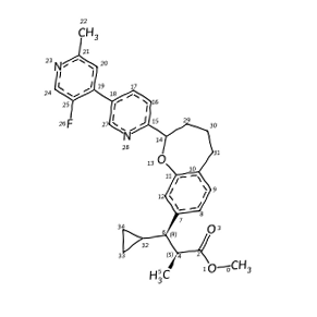 COC(=O)[C@@H](C)[C@H](c1ccc2c(c1)OC(c1ccc(-c3cc(C)ncc3F)cn1)CCC2)C1CC1